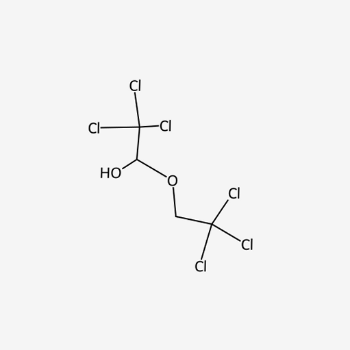 OC(OCC(Cl)(Cl)Cl)C(Cl)(Cl)Cl